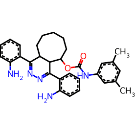 Cc1cc(C)cc(NC(=O)OC2CCCCCC3C(c4ccccc4N)=NN=C(c4ccccc4N)C23)c1